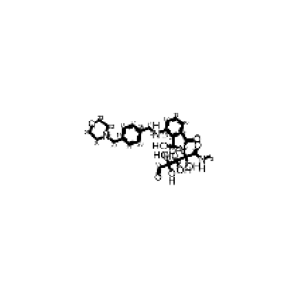 CNC(=O)C(O)(N1C(=O)c2cccc(NCc3ccc(CN4CCOCC4)cc3)c2C1(O)O)C(O)(O)C(O)(O)C=O